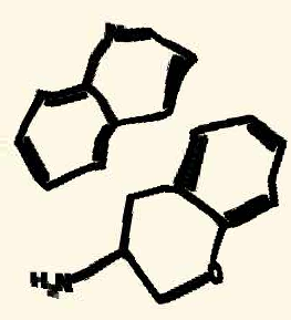 NC1COc2ccccc2C1.c1ccc2ncccc2c1